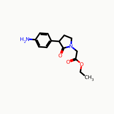 CCOC(=O)CN1CCC(c2ccc(N)cc2)C1=O